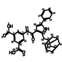 O=C(O)c1cc(NC(=O)c2cc(-c3ccccc3)[nH]c2CC23CC4CC(CC(C4)C2)C3)cc(C(=O)O)c1